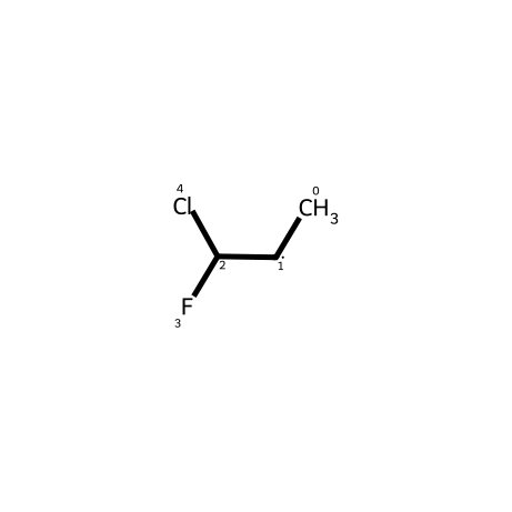 C[CH]C(F)Cl